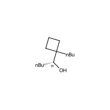 CCCC[C@@H](O)C1(CCCC)CCC1